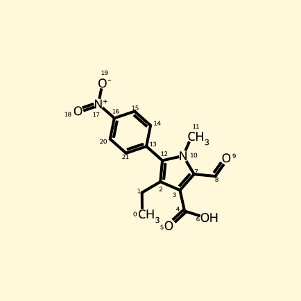 CCc1c(C(=O)O)c(C=O)n(C)c1-c1ccc([N+](=O)[O-])cc1